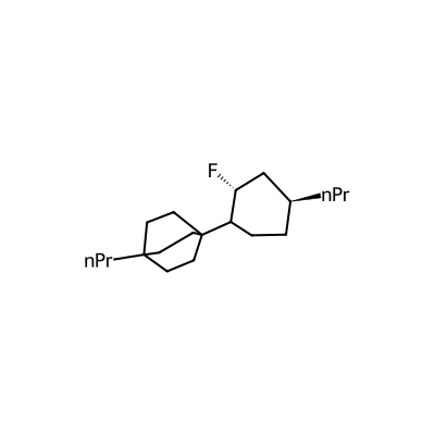 CCC[C@H]1CCC(C23CCC(CCC)(CC2)CC3)[C@H](F)C1